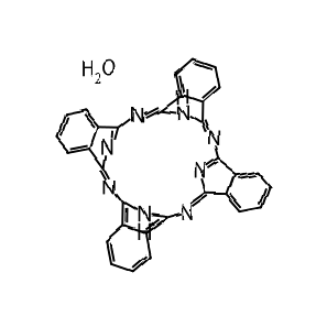 O.c1ccc2c(c1)-c1nc-2nc2[nH]c(nc3nc(nc4[nH]c(n1)c1ccccc41)-c1ccccc1-3)c1ccccc21